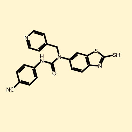 N#Cc1ccc(NC(=O)N(Cc2ccncc2)c2ccc3nc(S)sc3c2)cc1